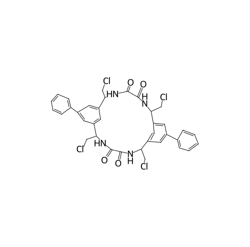 O=C1NC(CCl)c2cc(-c3ccccc3)cc(c2)C(CCl)NC(=O)C(=O)NC(CCl)c2cc(-c3ccccc3)cc(c2)C(CCl)NC1=O